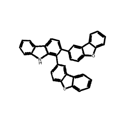 c1ccc2c(c1)[nH]c1c(-c3ccc4oc5ccccc5c4c3)c(-c3ccc4oc5ccccc5c4c3)ccc12